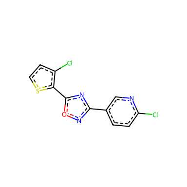 Clc1ccc(-c2noc(-c3sccc3Cl)n2)cn1